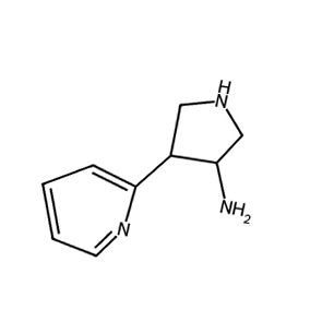 NC1CNCC1c1ccccn1